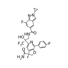 C[C@]1(C(N)=O)COc2c1cc([C@@](O)(CNC(=O)c1cc(F)c3nn(C4CC4)cc3c1)C(F)(F)F)nc2-c1ccc(F)cc1